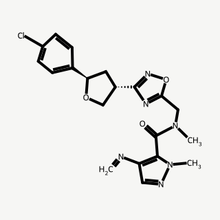 C=Nc1cnn(C)c1C(=O)N(C)Cc1nc([C@@H]2CO[C@@H](c3ccc(Cl)cc3)C2)no1